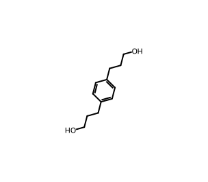 OCCCc1ccc(CCCO)cc1